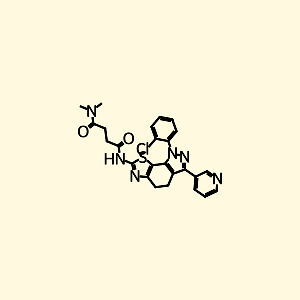 CN(C)C(=O)CCC(=O)Nc1nc2c(s1)-c1c(c(-c3cccnc3)nn1-c1ccccc1Cl)CC2